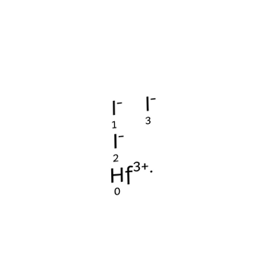 [Hf+3].[I-].[I-].[I-]